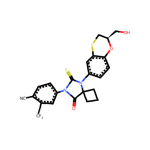 N#Cc1ccc(N2C(=O)C3(CCC3)N(c3ccc4c(c3)SC[C@@H](CO)O4)C2=S)cc1C(F)(F)F